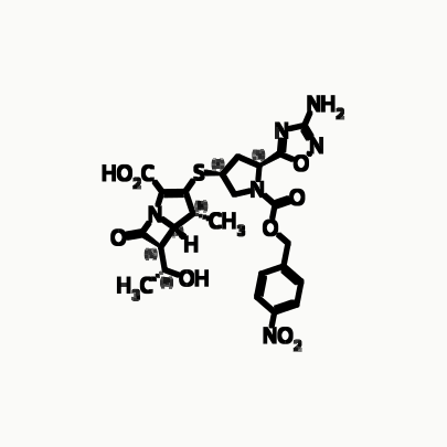 C[C@@H](O)[C@H]1C(=O)N2C(C(=O)O)=C(S[C@H]3C[C@@H](c4nc(N)no4)N(C(=O)OCc4ccc([N+](=O)[O-])cc4)C3)[C@H](C)[C@H]12